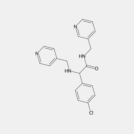 O=C(NCc1cccnc1)C(NCc1ccncc1)c1ccc(Cl)cc1